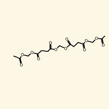 CC(=O)OCOC(=O)CCC(=O)OCOC(=O)CCC(=O)OCOC(C)=O